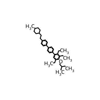 CCc1cc(-c2ccc(-c3ccc(CCC4CCC(C)CC4)cc3)cc2)c(CC)c(CC)c1OCC(CC)CC